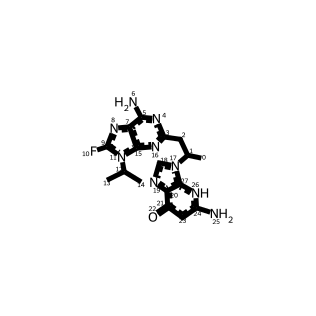 CC(Cc1nc(N)c2nc(F)n(C(C)C)c2n1)n1cnc2c(=O)cc(N)[nH]c21